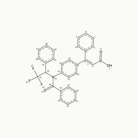 O=C(O)/C=C(\c1ccccc1)c1ccc(N(C(=O)c2ccccc2)C(c2ccccc2)C(F)(F)F)cc1